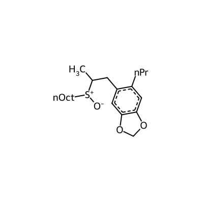 CCCCCCCC[S+]([O-])C(C)Cc1cc2c(cc1CCC)OCO2